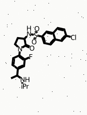 CC(C)NC(C)c1ccc(N2CCC(NS(=O)(=O)c3ccc4cc(Cl)ccc4c3)C2=O)c(F)c1